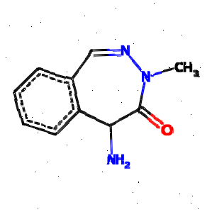 CN1N=Cc2ccccc2C(N)C1=O